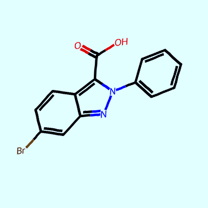 O=C(O)c1c2ccc(Br)cc2nn1-c1ccccc1